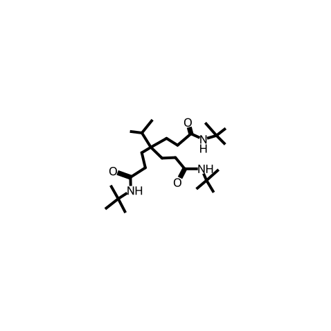 CC(C)C(CCC(=O)NC(C)(C)C)(CCC(=O)NC(C)(C)C)CCC(=O)NC(C)(C)C